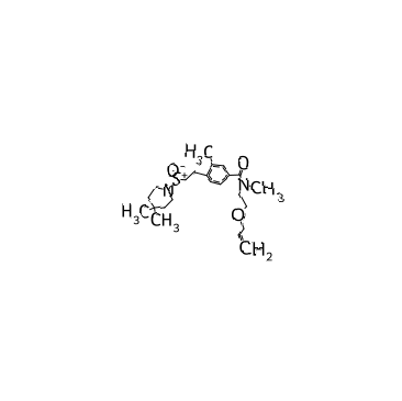 C=CCOCCN(C)C(=O)c1ccc(CC[S+]([O-])N2CCC(C)(C)CC2)c(C)c1